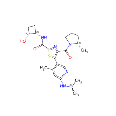 Cc1cc(N[C@@H](C)C(F)(F)F)ncc1-c1sc(C(=O)N[C@H]2CC[C@H]2O)nc1C(=O)N1CCC[C@@H]1C